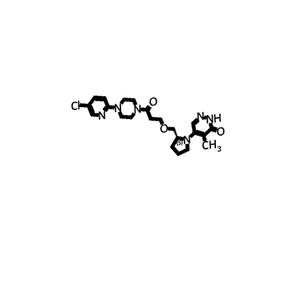 Cc1c(N2CCC[C@H]2COCCC(=O)N2CCN(c3ccc(Cl)cn3)CC2)cn[nH]c1=O